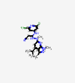 Cc1nn(C)c2nc(N(C)N/C(=C\C#N)Nc3cc(Cl)nc(Cl)c3)cc(C(C)C)c12